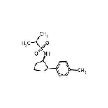 Cc1ccc([C@H]2CCC[C@H]2NS(=O)(=O)C(C)C)cc1